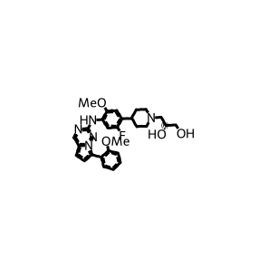 COc1cc(C2CCN(C[C@@H](O)CO)CC2)c(F)cc1Nc1ncc2ccc(-c3ccccc3OC)n2n1